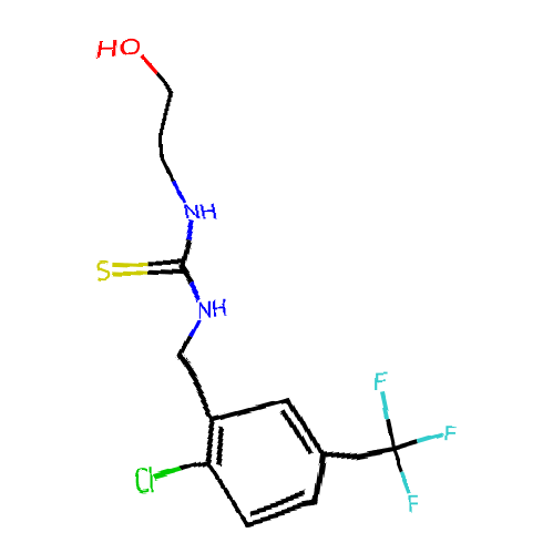 OCCNC(=S)NCc1cc(C(F)(F)F)ccc1Cl